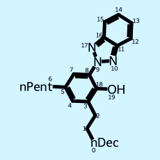 CCCCCCCCCCCCc1cc(CCCCC)cc(-n2nc3ccccc3n2)c1O